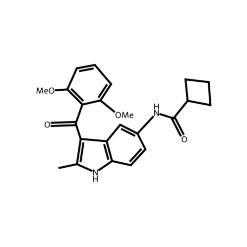 COc1cccc(OC)c1C(=O)c1c(C)[nH]c2ccc(NC(=O)C3CCC3)cc12